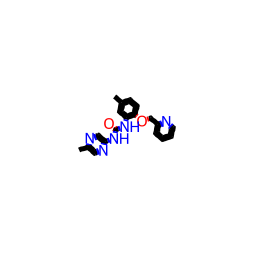 Cc1ccc(OCc2ccccn2)c(NC(=O)Nc2cnc(C)cn2)c1